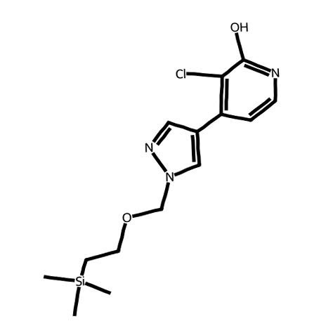 C[Si](C)(C)CCOCn1cc(-c2ccnc(O)c2Cl)cn1